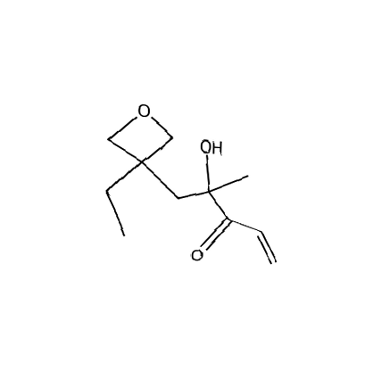 C=CC(=O)C(C)(O)CC1(CC)COC1